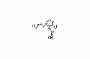 C=CCc1cccc(Cl)c1OCC1CO1